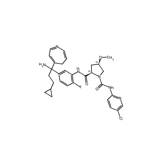 CO[C@@H]1C[C@H](C(=O)Nc2cc(C(N)(CCC3CC3)C3=CC=NC=CC3)ccc2F)N(C(=O)Nc2ccc(Cl)cn2)C1